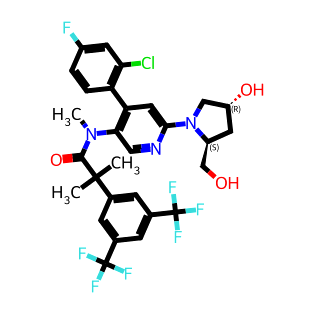 CN(C(=O)C(C)(C)c1cc(C(F)(F)F)cc(C(F)(F)F)c1)c1cnc(N2C[C@H](O)C[C@H]2CO)cc1-c1ccc(F)cc1Cl